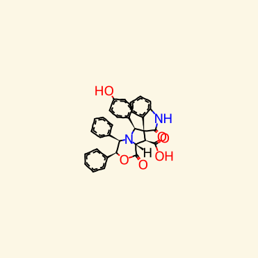 O=C1O[C@@H](c2ccccc2)[C@@H](c2ccccc2)N2[C@@H](c3ccc(O)cc3)[C@]3(C(=O)Nc4ccccc43)[C@@H](C(=O)O)[C@H]12